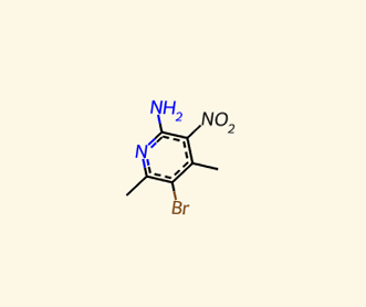 Cc1nc(N)c([N+](=O)[O-])c(C)c1Br